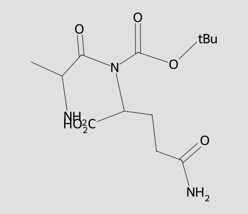 CC(N)C(=O)N(C(=O)OC(C)(C)C)C(CCC(N)=O)C(=O)O